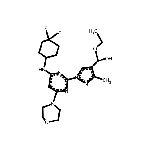 CCO[C@@H](O)c1cn(-c2nc(NC3CCC(F)(F)CC3)cc(N3CCOCC3)n2)nc1C